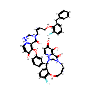 O=C1c2c(Oc3cccc([C@@H]4c5cccc(F)c5OC/C=C\CN5CN4n4ccc(=O)c(O)c4C5=O)c3)c(=O)ccn2NCN1C/C=C\COc1c(F)cccc1Cc1ccccc1